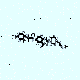 Cc1nc(N2CCCN(CCO)CC2)nc2ccc(NC(=O)COc3ccc(Cl)cc3Cl)cc12